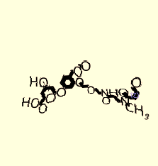 CN(CCC(=O)NCCOCCOc1cc(OC2C[C@@H](O)CC(C(=O)O)O2)ccc1COC=O)C(=O)/C=C\C=O